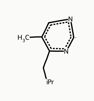 Cc1cn[c]nc1CC(C)C